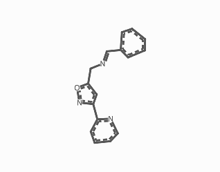 C(=NCc1cc(-c2ccccn2)no1)c1ccccc1